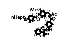 CCCCCCCOc1ccc(C(=O)Oc2ccc(CC(NC(=O)c3ccc(NC(=O)C4(c5ccccc5)CC4)cc3)C(C)=O)cc2OC)cc1